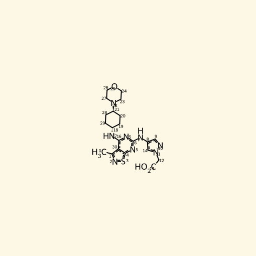 Cc1nsc2nc(Nc3cnn(CC(=O)O)c3)nc(N[C@H]3CC[C@H](N4CCOCC4)CC3)c12